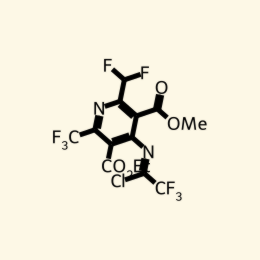 CCOC(=O)c1c(C(F)(F)F)nc(C(F)F)c(C(=O)OC)c1N=C(Cl)C(F)(F)F